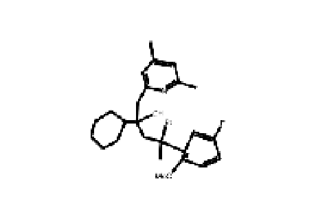 CCC(C)(CC(O)(Cc1cc(C)cc(C)n1)C1CCCCC1)c1cc(F)ccc1OC